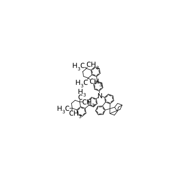 CC1(C)CCC(C)(C)c2c(-c3ccc(N(c4ccc(-c5cccc6c5C(C)(C)CCC6(C)C)cc4)c4cccc5c4-c4ccccc4C54C5CC6CC(C5)C4C6)cc3)cccc21